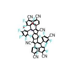 N#CC1=C(c2ccc(C#N)cc2)C(=C(c2c(F)c(F)c(C#N)c(F)c2F)c2c(F)c(F)c(C#N)c(F)c2F)c2cc3c(cc21)/C(=C(\c1c(F)c(F)c(F)c(F)c1F)c1c(F)c(F)c(C#N)c(F)c1F)C(c1ccc(C#N)cc1)=C3C#N